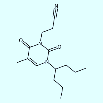 CCCC(CCC)n1cc(C)c(=O)n(CCC#N)c1=O